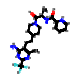 Cc1nc(C(F)(F)F)nc(N)c1CCC1CCN(C(=O)[C@H](C)NC(=O)c2ccccn2)CC1